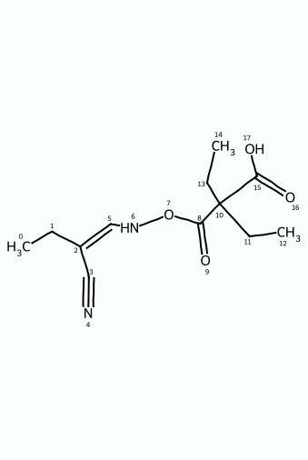 CCC(C#N)=CNOC(=O)C(CC)(CC)C(=O)O